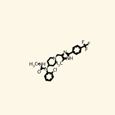 CNC(=O)N(c1ccccc1Cl)C1CCN(Cc2nc(-c3ccc(C(F)(F)F)cc3)[nH]c2C)CC1